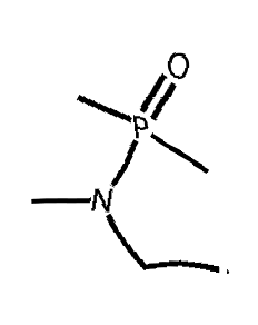 [CH2]CN(C)P(C)(C)=O